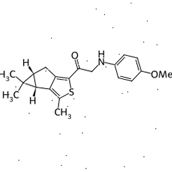 COc1ccc(NCC(=O)c2sc(C)c3c2C[C@@H]2[C@H]3C2(C)C)cc1